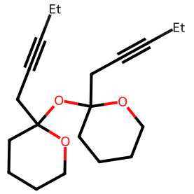 CCC#CCC1(OC2(CC#CCC)CCCCO2)CCCCO1